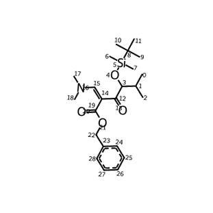 CC(C)C(O[Si](C)(C)C(C)(C)C)C(=O)C(=CN(C)C)C(=O)OCc1ccccc1